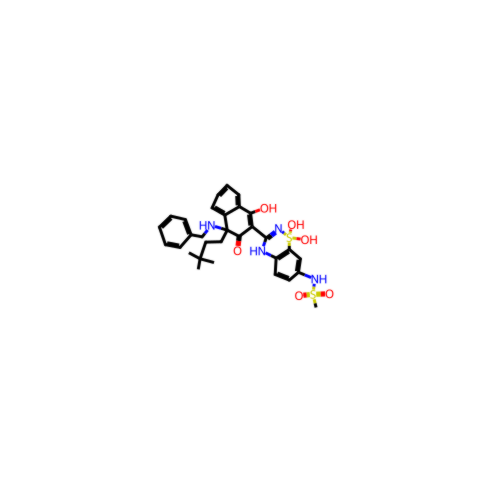 CC(C)(C)CCC1(NCc2ccccc2)C(=O)C(C2=NS(O)(O)c3cc(NS(C)(=O)=O)ccc3N2)=C(O)c2ccccc21